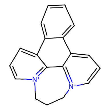 c1ccc2c(c1)c1ccc[n+]3c1c1c2ccc[n+]1CCC3